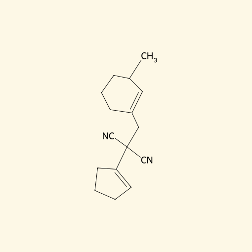 CC1C=C(CC(C#N)(C#N)C2=CCCC2)CCC1